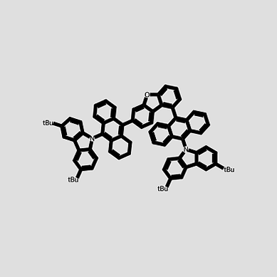 CC(C)(C)c1ccc2c(c1)c1cc(C(C)(C)C)ccc1n2-c1c2c(c(-c3ccc4c(c3)oc3cccc(-c5c6ccccc6c(-n6c7ccc(C(C)(C)C)cc7c7cc(C(C)(C)C)ccc76)c6ccccc56)c34)c3ccccc13)CCC=C2